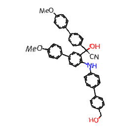 COc1ccc(-c2ccc(C(O)(C#N)c3cc(-c4ccc(OC)cc4)ccc3Nc3ccc(-c4ccc(CO)cc4)cc3)cc2)cc1